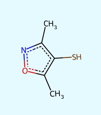 Cc1noc(C)c1S